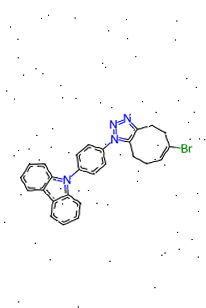 Br/C1=C/CCc2c(nnn2-c2ccc(-n3c4ccccc4c4ccccc43)cc2)CC1